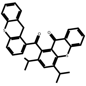 CC(C)c1cc(C(C)C)c2sc3ccccc3c(=O)c2c1C(=O)c1cccc2c1Cc1ccccc1S2